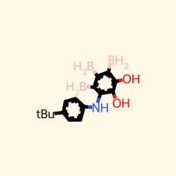 Bc1c(B)c(O)c(O)c(Nc2ccc(C(C)(C)C)cc2)c1B